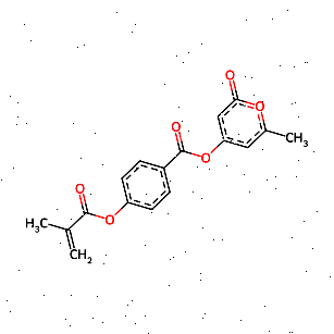 C=C(C)C(=O)Oc1ccc(C(=O)Oc2cc(C)oc(=O)c2)cc1